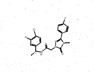 C[C@H](NC(=O)Cn1nc(-c2ccc(F)cc2)n(C)c1=O)c1ccc(Cl)c(F)c1